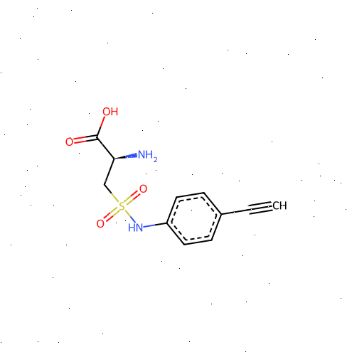 C#Cc1ccc(NS(=O)(=O)C[C@H](N)C(=O)O)cc1